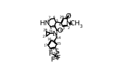 Cn1ccc(C2CCNCC2C(=O)N(Cc2cccc(SC(F)(F)F)c2)C2CC2)cc1=O